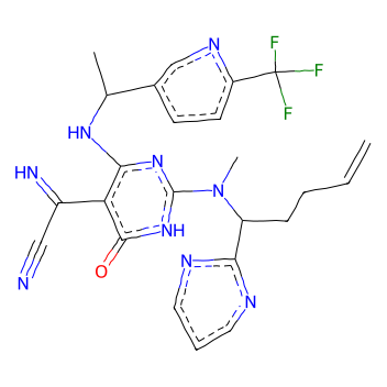 C=CCCC(c1ncccn1)N(C)c1nc(NC(C)c2ccc(C(F)(F)F)nc2)c(C(=N)C#N)c(=O)[nH]1